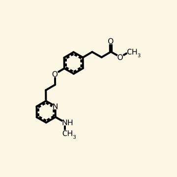 CNc1cccc(CCOc2ccc(CCC(=O)OC)cc2)n1